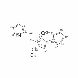 [Cl-].[Cl-].[Cr+2][C]1=C(CCc2ccccn2)CC=C1c1ccccc1